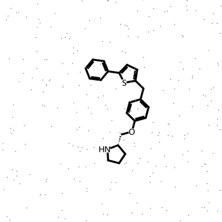 c1ccc(-c2ccc(Cc3ccc(OC[C@@H]4CCCN4)cc3)s2)cc1